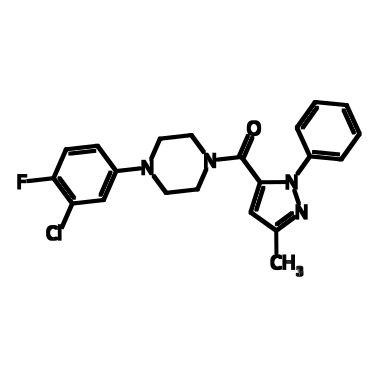 Cc1cc(C(=O)N2CCN(c3ccc(F)c(Cl)c3)CC2)n(-c2ccccc2)n1